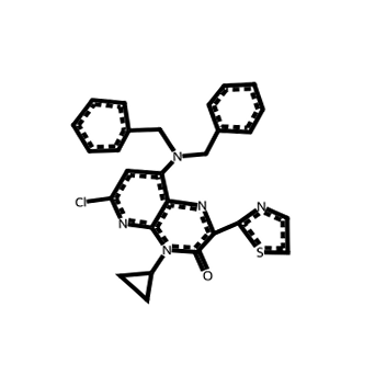 O=c1c(-c2nccs2)nc2c(N(Cc3ccccc3)Cc3ccccc3)cc(Cl)nc2n1C1CC1